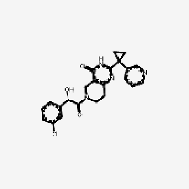 O=C([C@H](O)c1cccc(Cl)c1)N1CCc2nc(C3(c4cccnc4)CC3)[nH]c(=O)c2C1